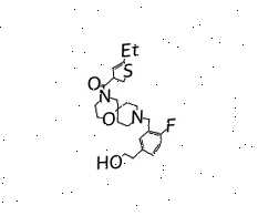 CCC1=CC(C(=O)N2CCOC3(CCN(Cc4cc(CCO)ccc4F)CC3)C2)CS1